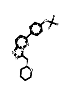 FC(F)(F)Oc1ccc(-c2ccc3nnc(C[C@@H]4CCCCO4)n3n2)cc1